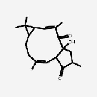 C/C1=C/C2C(=O)C(C)CC2(O)C(=O)/C(C)=C\C2C(CC1)C2(C)C